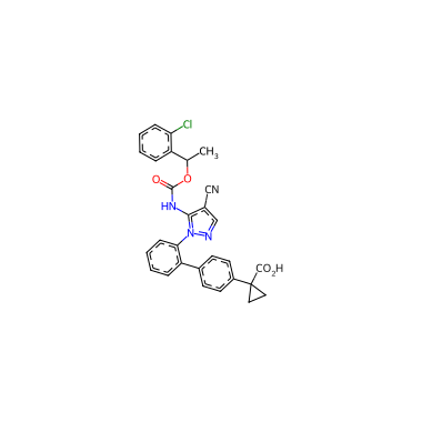 CC(OC(=O)Nc1c(C#N)cnn1-c1ccccc1-c1ccc(C2(C(=O)O)CC2)cc1)c1ccccc1Cl